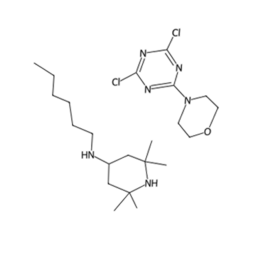 CCCCCCNC1CC(C)(C)NC(C)(C)C1.Clc1nc(Cl)nc(N2CCOCC2)n1